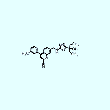 CCC(O)(CC)c1nnc(NCc2ccc3c(-c4cccc(C)c4)cc(C#N)nc3c2)o1